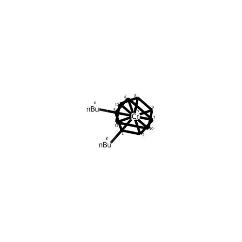 CCCC[C]12[CH]3[CH]4[CH]5[C]1(CCCC)[Cr]43521678[CH]2[CH]1[CH]6[CH]7[CH]28